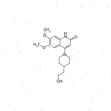 COc1cc2[nH]c(=O)cc(N3CCC(CCO)CC3)c2cc1OC